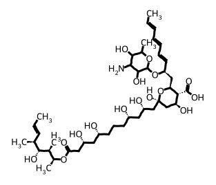 C/C=C/C=C/C=C/[C@@H](C[C@@H]1O[C@](O)(C[C@@H](O)C[C@@H](O)CCC[C@@H](O)C[C@@H](O)CC(=O)O[C@@H](C)[C@H](C)[C@H](O)[C@@H](C)/C=C/C)C[C@H](O)[C@H]1C(=O)O)OC1OC(C)C(O)C(N)C1O